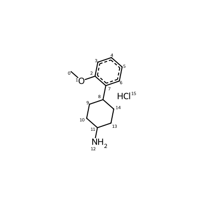 COc1ccccc1C1CCC(N)CC1.Cl